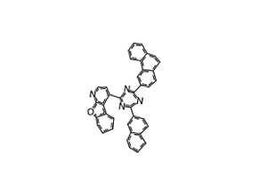 c1ccc2cc(-c3nc(-c4ccc5ccc6ccccc6c5c4)nc(-c4ccnc5oc6ccccc6c45)n3)ccc2c1